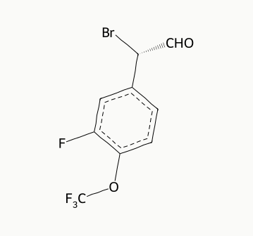 O=C[C@@H](Br)c1ccc(OC(F)(F)F)c(F)c1